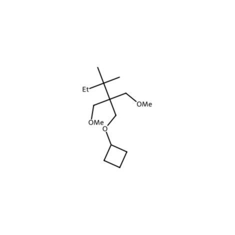 CCC(C)(C)C(COC)(COC)COC1CCC1